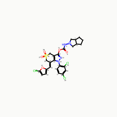 O=C(NN1CC2CCCC2C1)Oc1nn(-c2ccc(Cl)cc2Cl)c2c1CS(=O)(=O)C/C2=C\c1ccc(Cl)o1